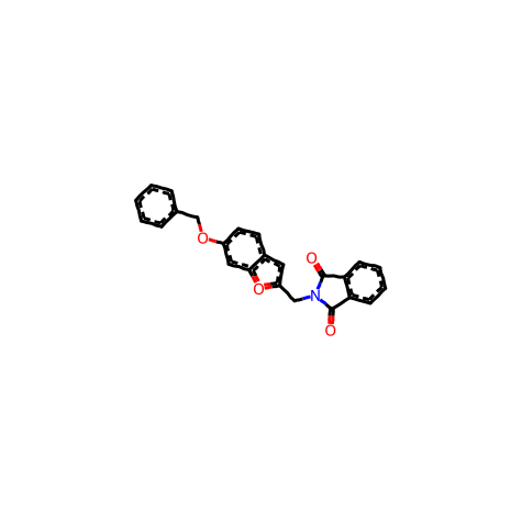 O=C1c2ccccc2C(=O)N1Cc1cc2ccc(OCc3ccccc3)cc2o1